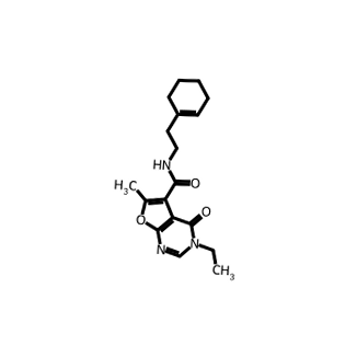 CCn1cnc2oc(C)c(C(=O)NCCC3=CCCCC3)c2c1=O